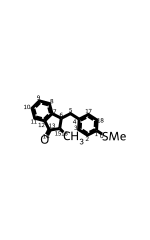 CSc1ccc(CC2c3ccccc3C(=O)C2C)cc1